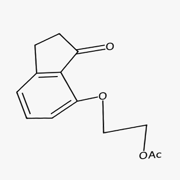 CC(=O)OCCOc1cccc2c1C(=O)CC2